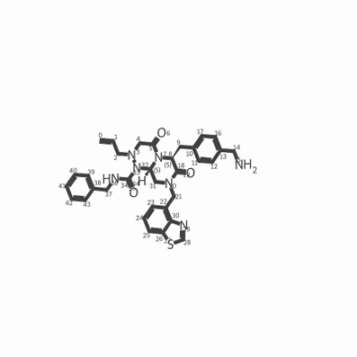 C=CCN1CC(=O)N2[C@@H](Cc3ccc(CN)cc3)C(=O)N(Cc3cccc4scnc34)C[C@@H]2N1C(=O)NCc1ccccc1